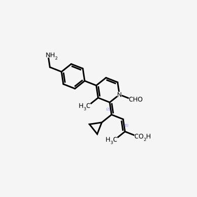 CC1=C(c2ccc(CN)cc2)C=CN(C=O)/C1=C(\C=C(/C)C(=O)O)C1CC1